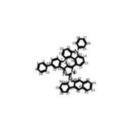 c1ccc(-c2ccc3sc4c(-c5cccc6c5c5ccccc5n6-c5ccccc5)nc(-n5c6ccccc6c6cc7ccccc7cc65)nc4c3c2)cc1